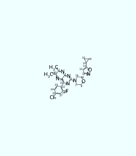 Cc1nc2nc(N3CCO[C@@H](c4cc(C5CC5)on4)C3)nc(-c3ccc(Cl)cc3F)c2nc1C